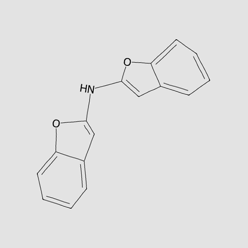 c1ccc2oc(Nc3cc4ccccc4o3)cc2c1